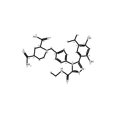 CCNC(=O)c1nnc(-c2cc(C(C)C)c(O)cc2O)n1-c1ccc(CN2CCC(C(N)=O)CC2C(=O)O)cc1